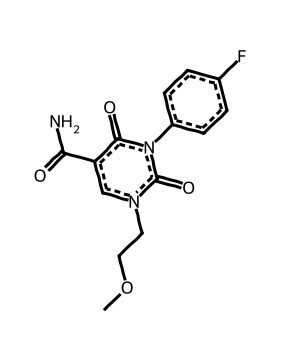 COCCn1cc(C(N)=O)c(=O)n(-c2ccc(F)cc2)c1=O